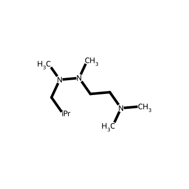 CC(C)CN(C)N(C)CCN(C)C